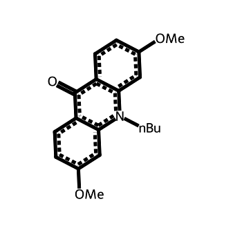 CCCCn1c2cc(OC)ccc2c(=O)c2ccc(OC)cc21